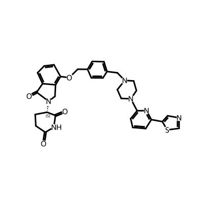 O=C1CC[C@H](N2Cc3c(OCc4ccc(CN5CCN(c6cccc(-c7cncs7)n6)CC5)cc4)cccc3C2=O)C(=O)N1